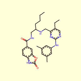 CCCCC(CNC(=O)c1ccc2[nH]c(=O)oc2c1)NCc1nc(Nc2cc(C)cc(C)c2)ncc1CC